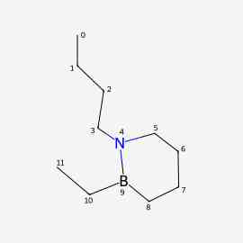 CCCCN1CCCCB1CC